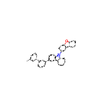 Cc1cccc(-c2cccc(-c3ccc4c(c3)c3ccccc3n4-c3ccc4oc5ccccc5c4c3)c2)c1